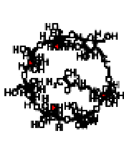 C=C(C)C(=O)NCCNC[C@H]1O[C@@H]2OCCCCC3[C@@H](CO)O[C@H](OC4[C@@H](CO)O[C@H](OC5[C@@H](CO)O[C@H](OC6[C@@H](CO)O[C@H](OC7[C@@H](CO)O[C@H](OC8[C@@H](CO)O[C@H](OC1[C@H](O)[C@H]2O)[C@H](O)[C@H]8O)[C@H](O)[C@H]7O)[C@H](O)[C@H]6O)[C@H](O)[C@H]5O)[C@H](O)[C@H]4O)[C@H](O)[C@H]3O